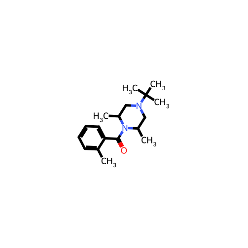 Cc1ccccc1C(=O)N1C(C)CN(C(C)(C)C)CC1C